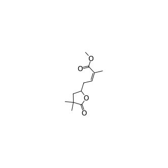 COC(=O)C(C)=CCC1CC(C)(C)C(=O)O1